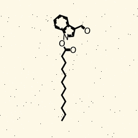 CCCCCCCCCCCC(=O)On1cc(C=O)c2ccccc21